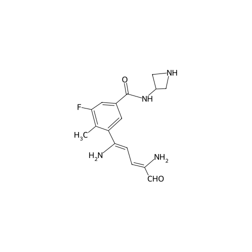 Cc1c(F)cc(C(=O)NC2CNC2)cc1/C(N)=C/C=C(\N)C=O